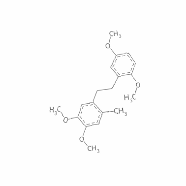 COc1ccc(OC)c(CCc2cc(OC)c(OC)cc2C)c1